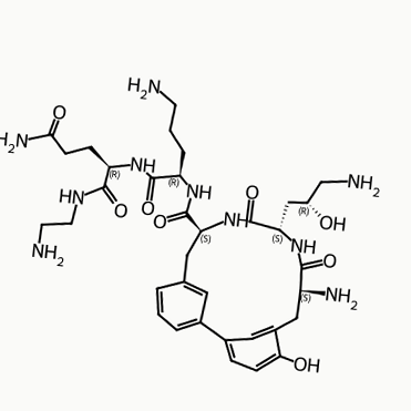 NCCC[C@@H](NC(=O)[C@@H]1Cc2cccc(c2)-c2ccc(O)c(c2)C[C@H](N)C(=O)N[C@@H](C[C@@H](O)CN)C(=O)N1)C(=O)N[C@H](CCC(N)=O)C(=O)NCCN